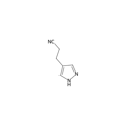 N#CCCc1[c][nH]nc1